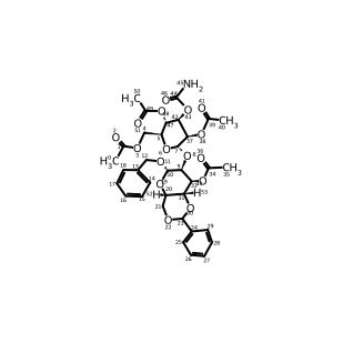 CC(=O)OC[C@@H]1O[C@@H](O[C@@H]2[C@@H](OCc3ccccc3)O[C@H]3COC(c4ccccc4)O[C@H]3[C@@H]2OC(C)=O)[C@H](OC(C)=O)[C@H](OC(N)=O)[C@H]1OC(C)=O